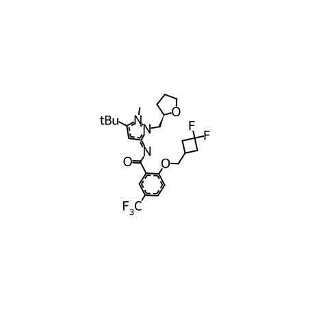 Cn1c(C(C)(C)C)cc(=NC(=O)c2cc(C(F)(F)F)ccc2OCC2CC(F)(F)C2)n1C[C@H]1CCCO1